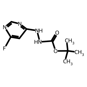 CC(C)(C)OC(=O)NNc1cc(F)ncn1